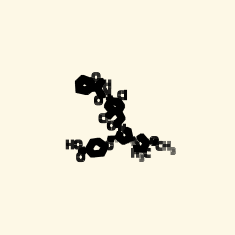 CO[C@H]1CN([C@H]2C[C@@H](CO[C@H]3CC[C@H](C(=O)O)CC3)N(C(=O)Cc3cc(Cl)c(NC(=O)c4coc5ccccc45)cc3Cl)C2)C[C@H]1C